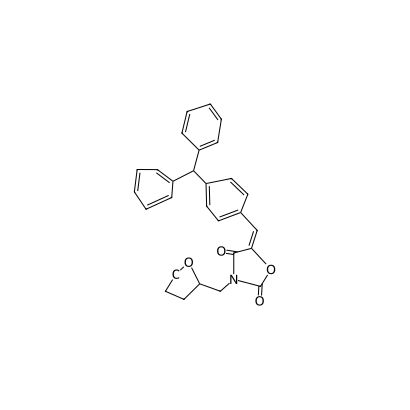 O=C1O/C(=C/c2ccc(C(c3ccccc3)c3ccccc3)cc2)C(=O)N1CC1CCCO1